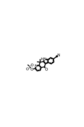 CC1(C)c2nc(OS(C)(=O)=O)ccc2C(=O)c2c1[nH]c1cc(C#N)ccc21